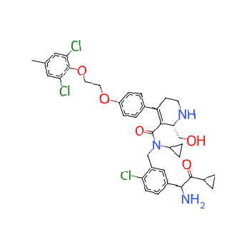 Cc1cc(Cl)c(OCCOc2ccc(C3=C(C(=O)N(Cc4cc(C(N)C(=O)C5CC5)ccc4Cl)C4CC4)[C@@H](CO)NCC3)cc2)c(Cl)c1